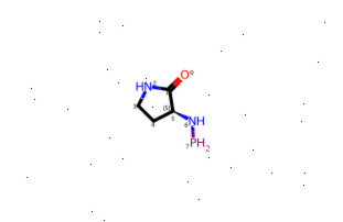 O=C1NCC[C@@H]1NP